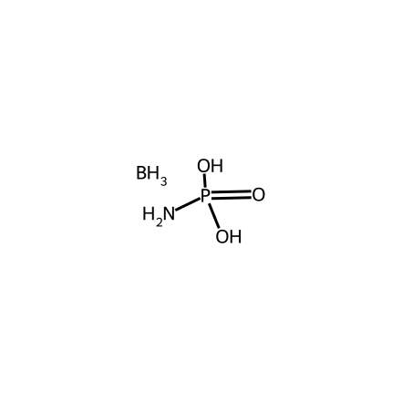 B.NP(=O)(O)O